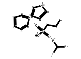 CCCS(=O)(=O)O.FC(F)F.c1cc[nH]c1.c1ccncc1